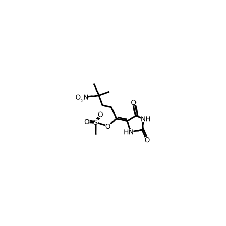 CC(C)(CCC(OS(C)(=O)=O)=C1NC(=O)NC1=O)[N+](=O)[O-]